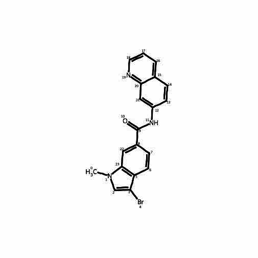 Cn1cc(Br)c2ccc(C(=O)Nc3ccc4cccnc4c3)cc21